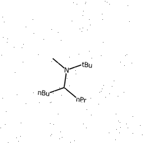 CCCCC(CCC)N(C)C(C)(C)C